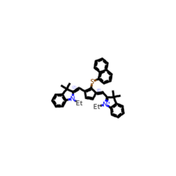 CCN1/C(=C\C2=C(Sc3cccc4ccccc34)C(=C/C3=[N+](CC)c4ccccc4C3(C)C)/C=C2)C(C)(C)c2ccccc21